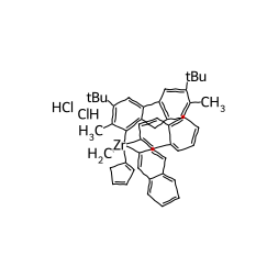 Cl.Cl.[CH2]=[Zr]([C]1=CC=CC1)([c]1ccc2ccccc2c1)([c]1ccc2ccccc2c1)[c]1c(C)c(C(C)(C)C)cc2c1Cc1cc(C)c(C(C)(C)C)cc1-2